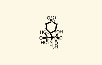 NC(C1CCS(=O)(=O)CC1)(P(=O)(O)O)P(=O)(O)O